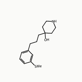 CSc1cccc(CCCC2(O)CCNCC2)c1